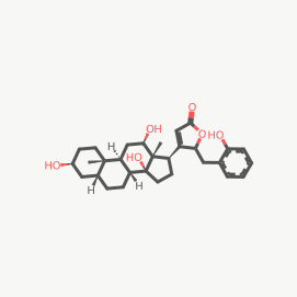 C[C@]12CC[C@H](O)C[C@H]1CC[C@@H]1[C@@H]2C[C@@H](O)[C@]2(C)[C@@H](C3=CC(=O)OC3Cc3ccccc3O)CC[C@]12O